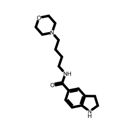 O=C(NCCCCN1CCOCC1)c1ccc2c(c1)CCN2